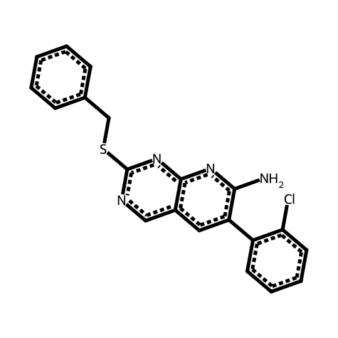 Nc1nc2nc(SCc3ccccc3)ncc2cc1-c1ccccc1Cl